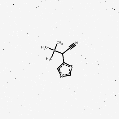 C[Si](C)(C)C(C#N)c1cncs1